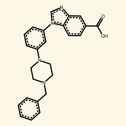 O=C(O)c1ccc2c(c1)ncn2-c1cccc(N2CCN(Cc3ccccc3)CC2)c1